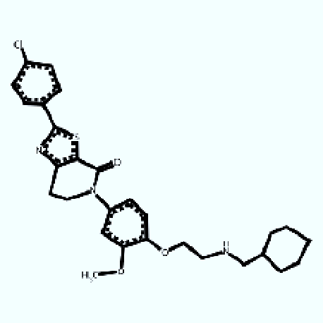 COc1cc(N2CCc3nc(-c4ccc(Cl)cc4)sc3C2=O)ccc1OCCNCC1CCCCC1